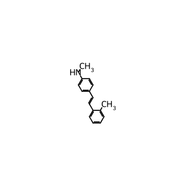 CNc1ccc(/C=C/c2ccccc2C)cc1